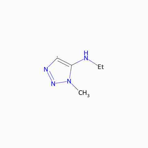 CCNc1[c]nnn1C